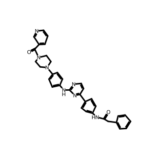 O=C(Cc1ccccc1)Nc1ccc(-c2ccnc(Nc3ccc(N4CCN(C(=O)c5cccnc5)CC4)cc3)n2)cc1